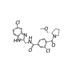 COC[C@@H]1CCCN1C(=O)c1ccc(C(=O)N[C@H](C)c2nc3cc(Cl)ccc3[nH]2)cc1Cl